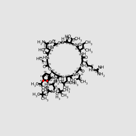 CC[C@H](C)C1NC(=O)[C@@H](CCCNC(=N)N)NC(=O)[C@H](CC(C)C)NC(=O)[C@H]([C@H](O)C(C)C)NC(=O)[C@@H](NC(=O)[C@H](CC(C)C)NC(=O)[C@H](CC(C)(C)C)NC(=O)OC(C)(C)C)[C@@H](c2ccccc2)OC(=O)[C@H](CO)NC(=O)[C@H]([C@H](O)C(N)=O)NC(=O)CNC(=O)C([C@H](C)O)NC1=O